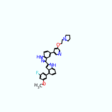 COc1cc(F)cc(-c2cccc3[nH]c(-c4n[nH]c5ccc(-c6cncc(OCCN7CCCC7)c6)cc45)cc23)c1